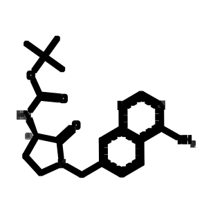 CC(C)(C)OC(=O)N[C@@H]1CCN(Cc2ccc3c(N)ncnc3c2)C1=O